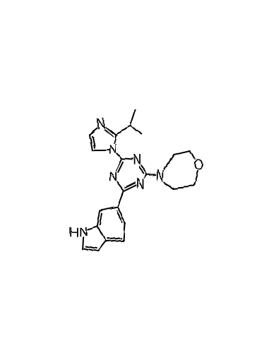 CC(C)c1nccn1-c1nc(-c2ccc3cc[nH]c3c2)nc(N2CCOCC2)n1